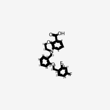 O=C(O)c1cccc2c1OCCN2Cc1ccccc1OCc1ccc(F)cc1F